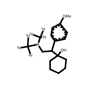 [2H]C([2H])([2H])N(CC(c1ccc(OC)cc1)C1(O)CCCCC1)C([2H])([2H])[2H]